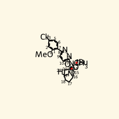 COc1cc(Cl)ccc1-c1ccc(N(C)[C@H]2CC3CC[C@H](C2)N3C(=O)OC(C)(C)C)nn1